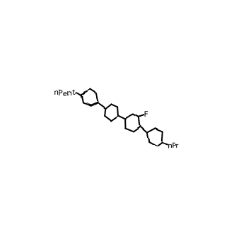 CCCCCC1CCC(C2CCC(C3CCC(C4CCC(CCC)CC4)C(F)C3)CC2)CC1